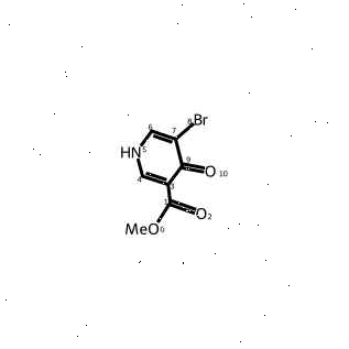 COC(=O)c1c[nH]cc(Br)c1=O